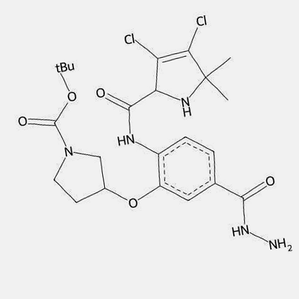 CC(C)(C)OC(=O)N1CCC(Oc2cc(C(=O)NN)ccc2NC(=O)C2NC(C)(C)C(Cl)=C2Cl)C1